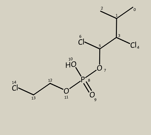 CC(C)C(Cl)C(Cl)OP(=O)(O)OCCCl